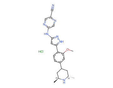 COc1cc(C2C[C@H](C)N[C@@H](C)C2)ccc1-c1cc(Nc2cnc(C#N)cn2)n[nH]1.Cl